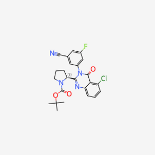 CC(C)(C)OC(=O)N1CCC[C@H]1c1nc2cccc(Cl)c2c(=O)n1-c1cc(F)cc(C#N)c1